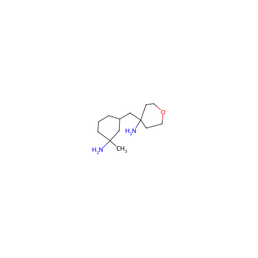 CC1(N)CCCC(CC2(N)CCOCC2)C1